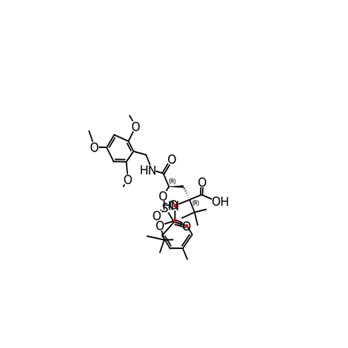 COc1cc(OC)c(CNC(=O)[C@@H](C[C@](NC(=O)OC(C)(C)C)(C(=O)O)C(C)(C)C)OS(=O)(=O)c2ccc(C)cc2)c(OC)c1